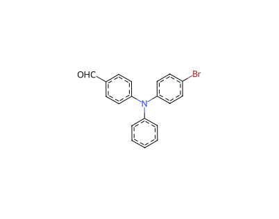 O=Cc1ccc(N(c2ccccc2)c2ccc(Br)cc2)cc1